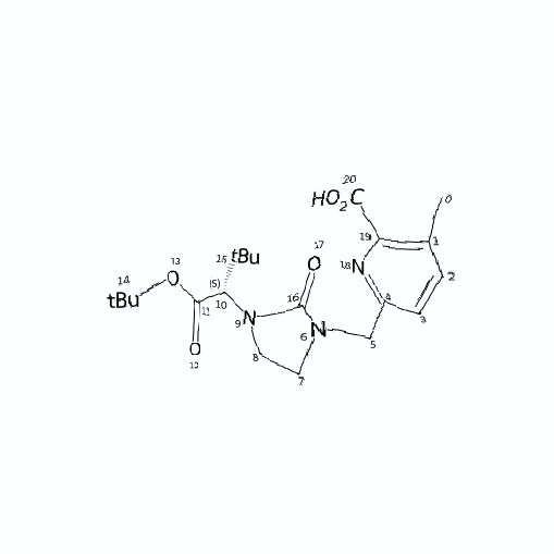 Cc1ccc(CN2CCN([C@H](C(=O)OC(C)(C)C)C(C)(C)C)C2=O)nc1C(=O)O